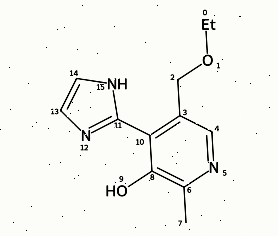 CCOCc1cnc(C)c(O)c1-c1ncc[nH]1